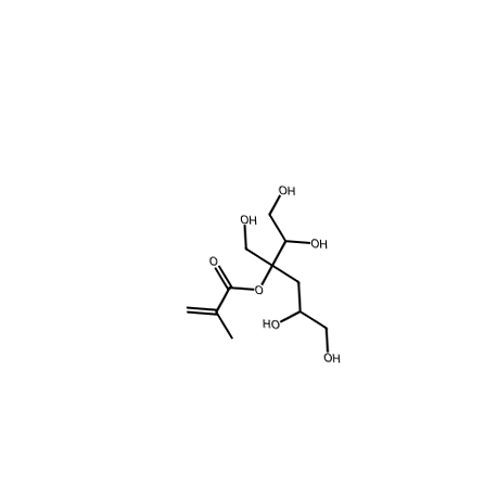 C=C(C)C(=O)OC(CO)(CC(O)CO)C(O)CO